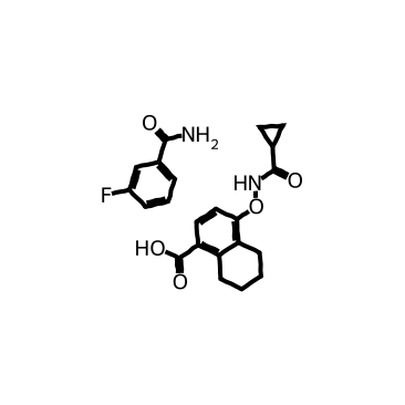 NC(=O)c1cccc(F)c1.O=C(O)c1ccc(ONC(=O)C2CC2)c2c1CCCC2